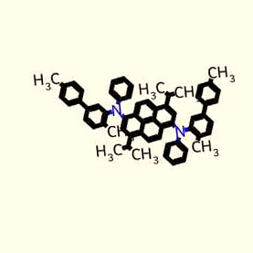 Cc1ccc(-c2ccc(C)c(N(c3ccccc3)c3cc(C(C)C)c4ccc5c(N(c6ccccc6)c6cc(-c7ccc(C)cc7)ccc6C)cc(C(C)C)c6ccc3c4c65)c2)cc1